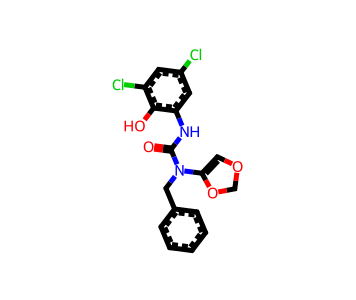 O=C(Nc1cc(Cl)cc(Cl)c1O)N(Cc1ccccc1)C1=COCO1